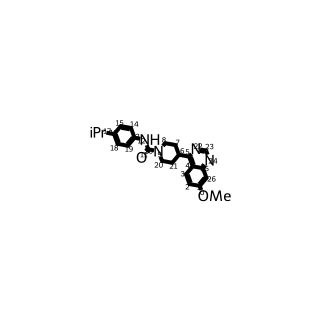 COc1ccc2c(C3CCN(C(=O)Nc4ccc(C(C)C)cc4)CC3)ncnc2c1